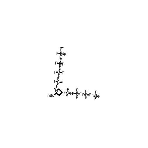 CC.CCCCC1CCCN1C.F[B-](F)(F)F.F[B-](F)(F)F.F[B-](F)(F)F.F[B-](F)(F)F.F[B-](F)(F)F.F[B-](F)(F)F.F[B-](F)(F)F.F[B-](F)(F)F